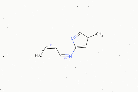 C/C=C\C=N/C1=CC(C)C=N1